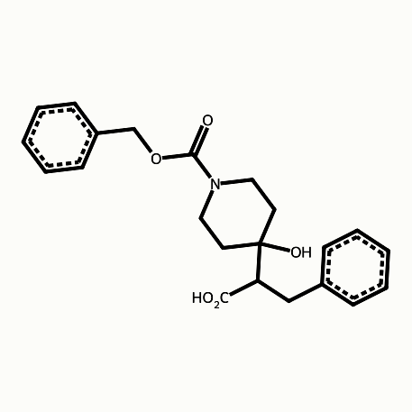 O=C(O)C(Cc1ccccc1)C1(O)CCN(C(=O)OCc2ccccc2)CC1